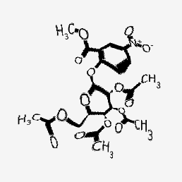 COC(=O)c1cc([N+](=O)[O-])ccc1O[C@@H]1O[C@H](COC(C)=O)[C@@H](OC(C)=O)[C@H](OC(C)=O)[C@H]1OC(C)=O